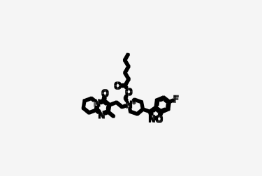 CCCCCC(=O)OC[N+]1(CCc2c(C)nc3n(c2=O)CCCC3)CCC(c2noc3cc(F)ccc23)CC1